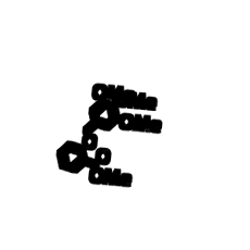 COC(=O)c1ccccc1OCc1cc(OC)c(OC)c(OC)c1